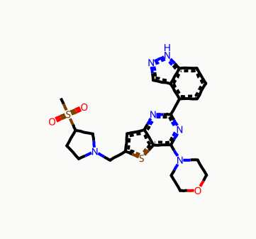 CS(=O)(=O)C1CCN(Cc2cc3nc(-c4cccc5[nH]ncc45)nc(N4CCOCC4)c3s2)C1